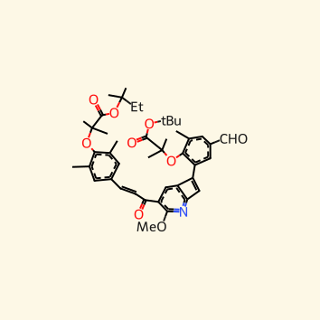 CCC(C)(C)OC(=O)C(C)(C)Oc1c(C)cc(/C=C/C(=O)c2cc3c(nc2OC)C=C3c2cc(C=O)cc(C)c2OC(C)(C)C(=O)OC(C)(C)C)cc1C